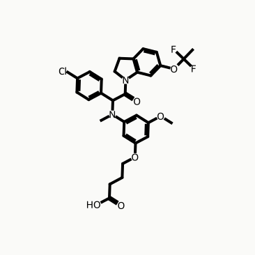 COc1cc(OCCCC(=O)O)cc(N(C)C(C(=O)N2CCc3ccc(OC(C)(F)F)cc32)c2ccc(Cl)cc2)c1